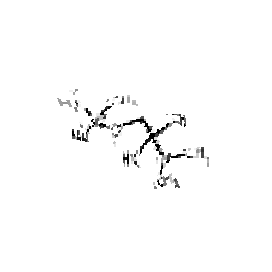 CN(C)C(C)(C#N)CO[Si](C)(C)C(C)(C)C